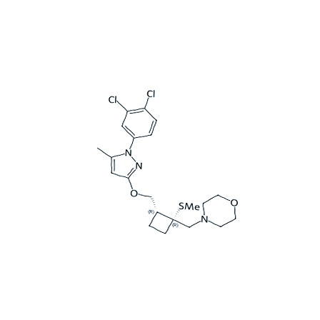 CS[C@]1(CN2CCOCC2)CC[C@@H]1COc1cc(C)n(-c2ccc(Cl)c(Cl)c2)n1